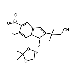 CC1(C)OC[C@@H](Cn2c(C(C)(C)CO)cc3cc([N+](=O)[O-])c(F)cc32)O1